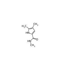 CNC(=O)c1cc(C)c(C)[nH]1